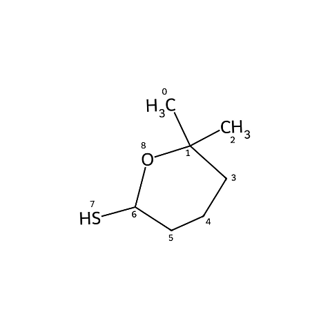 CC1(C)CCCC(S)O1